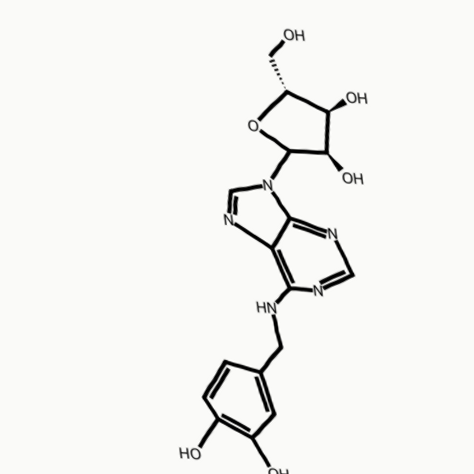 OC[C@H]1OC(n2cnc3c(NCc4ccc(O)c(O)c4)ncnc32)[C@H](O)[C@@H]1O